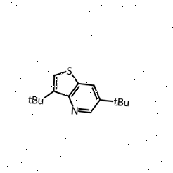 CC(C)(C)c1cnc2c(C(C)(C)C)csc2c1